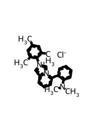 Cc1cc(C)c(-[n+]2cc3cccc(-c4ccccc4N(C)C)n3c2)c(C)c1.[Cl-]